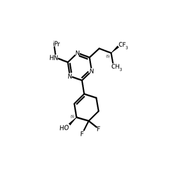 CC(C)Nc1nc(C[C@H](C)C(F)(F)F)nc(C2=C[C@H](O)C(F)(F)CC2)n1